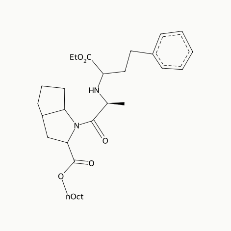 CCCCCCCCOC(=O)C1CC2CCCC2N1C(=O)[C@H](C)NC(CCc1ccccc1)C(=O)OCC